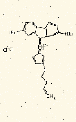 C=CCCCC1=C[C](=[Hf+2]=[C]2c3cc(C(C)(C)C)ccc3-c3ccc(C(C)(C)C)cc32)C=C1.[Cl-].[Cl-]